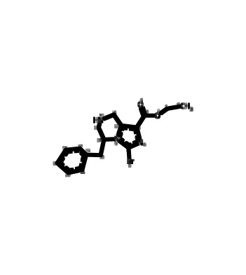 CCOC(=O)c1nc(Br)n2c1CNCC2Cc1ccccc1